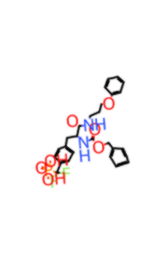 O=C(NC(Cc1ccc(C(F)(F)P(=O)(O)O)cc1)C(=O)NCCCOc1ccccc1)OCc1ccccc1